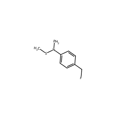 CSN(P)c1ccc(CF)cc1